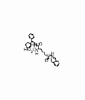 O=C(O)N[C@H](CCCCNC(=O)[C@@H]1Cc2ccccc2CN1)C(=O)NCC(c1ccccc1)c1ccccc1